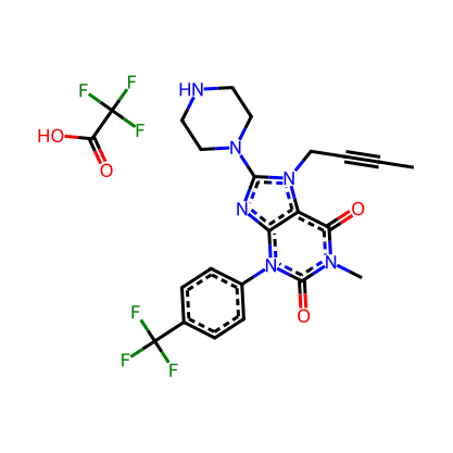 CC#CCn1c(N2CCNCC2)nc2c1c(=O)n(C)c(=O)n2-c1ccc(C(F)(F)F)cc1.O=C(O)C(F)(F)F